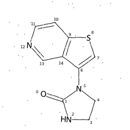 O=C1NCCN1c1csc2ccncc12